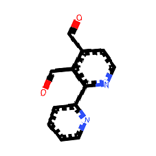 O=Cc1ccnc(-c2ccccn2)c1C=O